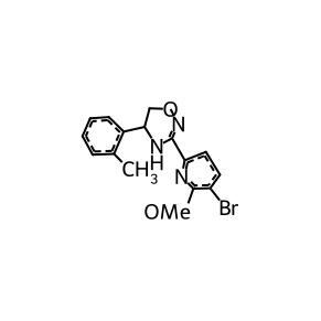 COc1nc(C2=NOCC(c3ccccc3C)N2)ccc1Br